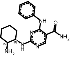 NC(=O)c1cnc(N[C@@H]2CCCC[C@@H]2N)nc1Nc1ccccc1